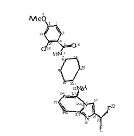 COc1ccc(C(=O)N[C@H]2CC[C@@H](Nc3cccc4nc(C(F)F)cn34)CC2)c(Cl)c1